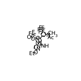 CCOc1ccc2nn(CC(=O)c3cc(N(C)C(C)=O)cc(S(F)(F)(F)(F)F)c3)c(=N)n2n1.O=C(O)C(F)(F)F